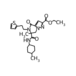 CCOC(=O)c1cc2n(n1)CC(C)(C(=O)NC1CCC(C)CC1)N(CCc1cccs1)C2=O